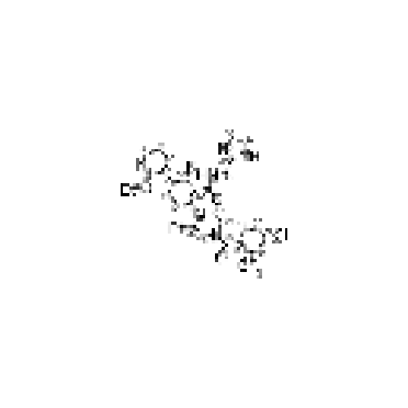 CCOc1ncccc1-c1ccc(N2CCN(C(=O)c3ccc(Cl)cc3C(F)(F)F)C[C@H]2CC)c(C(=O)NCC2=NCCN2)c1F